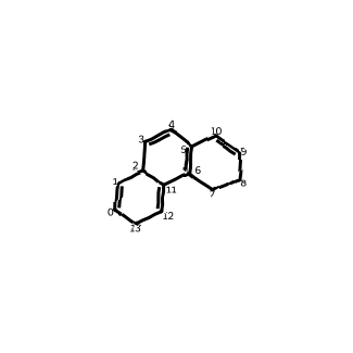 C1=CC2C=CC3=C(CCC=C3)C2=CC1